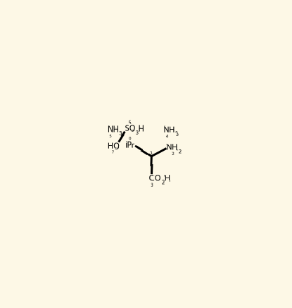 CC(C)C(N)C(=O)O.N.N.O=S(=O)(O)O